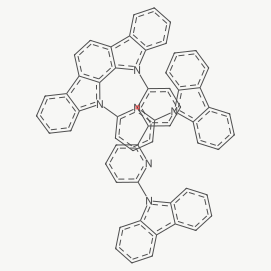 c1cc(-c2cccc(-n3c4ccccc4c4ccccc43)n2)cc(-n2c3ccccc3c3ccc4c5ccccc5n(-c5cccc(-n6c7ccccc7c7ccccc76)n5)c4c32)c1